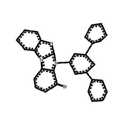 Brc1cccc2c1n(-c1cc(-c3ccccc3)cc(-c3ccccc3)c1)c1nc3ccccc3n21